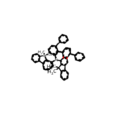 CC1(C)c2ccccc2-c2cccc(N(c3cccc(-c4ccccc4)c3-c3ccc(-c4ccccc4)cc3)c3cccc4c3[Si](C)(C)c3ccccc3-4)c21